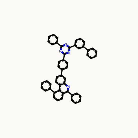 c1ccc(-c2cccc(-c3nc(-c4ccccc4)nc(-c4ccc(-c5ccc6c(c5)nc(-c5ccccc5)c5cccc(-c7ccccc7)c56)cc4)n3)c2)cc1